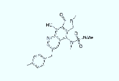 CNS(=O)(=O)N(C)c1c2c(c(O)c3ncc(Cc4ccc(C)cc4)cc13)C(=O)N(C)C2